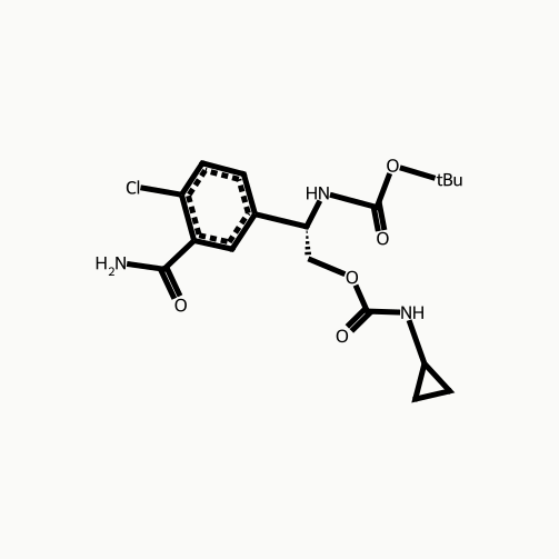 CC(C)(C)OC(=O)N[C@H](COC(=O)NC1CC1)c1ccc(Cl)c(C(N)=O)c1